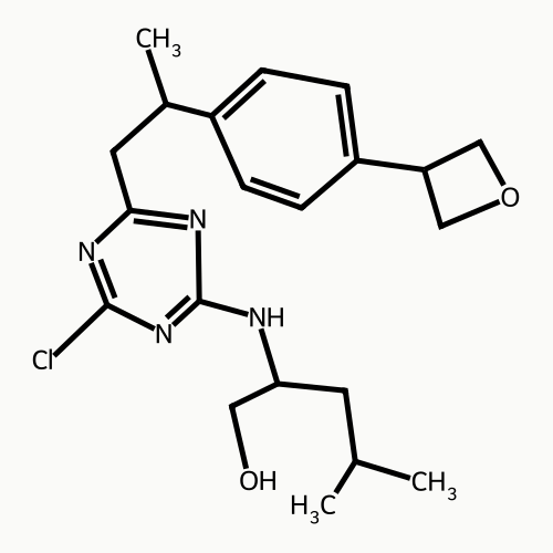 CC(C)CC(CO)Nc1nc(Cl)nc(CC(C)c2ccc(C3COC3)cc2)n1